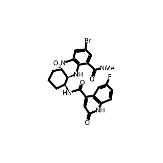 CNC(=O)c1cc(Br)cc([N+](=O)[O-])c1N[C@@H]1CCCC[C@@H]1NC(=O)c1cc(=O)[nH]c2ccc(F)cc12